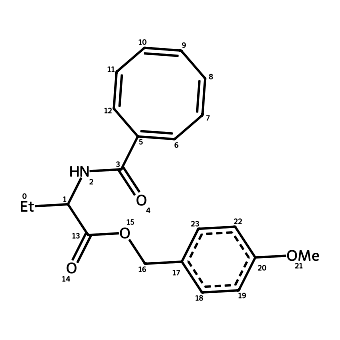 CCC(NC(=O)C1=CC=CC=CC=C1)C(=O)OCc1ccc(OC)cc1